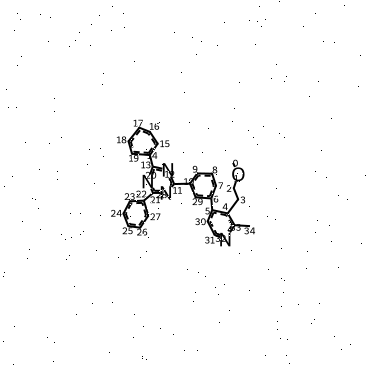 COCCc1c(-c2cccc(-c3nc(-c4ccccc4)nc(-c4ccccc4)n3)c2)ccnc1C